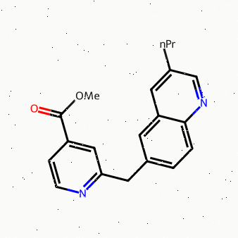 CCCc1cnc2ccc(Cc3cc(C(=O)OC)ccn3)cc2c1